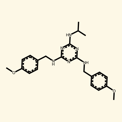 COc1ccc(CNc2nc(NCc3ccc(OC)cc3)nc(NC(C)C)n2)cc1